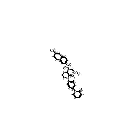 O=C(O)CN(C1CCCN(c2ccc(-n3ccccc3=O)cc2F)C1=O)S(=O)(=O)c1ccc2cc(Cl)ccc2c1